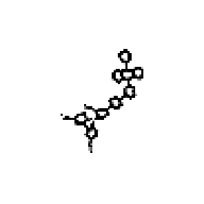 N#Cc1ccc2c(c1)c1cc(C#N)ccc1n2-c1ccc(-c2ccc(-c3cccc(-c4c5ccccc5c(-c5ccccc5)c5ccccc45)c3)cc2)cc1C#N